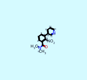 CN(C)C(=O)c1cccc(-c2[c]nccc2)c1[N+](=O)[O-]